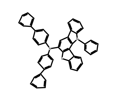 c1ccc(-c2ccc(N(c3ccc(-c4ccccc4)cc3)c3cc4c5ccccc5n(-c5ccccc5)c4c4c3sc3ccccc34)cc2)cc1